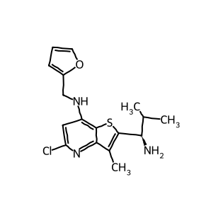 Cc1c([C@H](N)C(C)C)sc2c(NCc3ccco3)cc(Cl)nc12